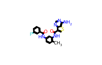 Cc1ccc(NC(=O)c2cccc(F)c2)cc1NC(=O)c1csc2c(N)ncnc12